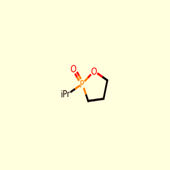 CC(C)P1(=O)CCCO1